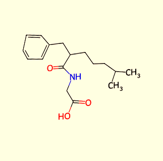 CC(C)CCCC(Cc1ccccc1)C(=O)NCC(=O)O